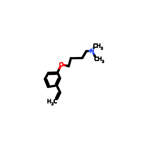 C=Cc1cccc(OCCCCN(C)C)c1